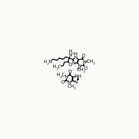 CCCC(=O)C(N)(CCCCCN)c1nc2c([nH]1)c(=O)n(C)c(=O)n2C.Cn1c(=O)c2[nH]cnc2n(C)c1=O